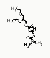 CCOCC(COc1nc(SC(=O)N(C)C)ns1)OCC